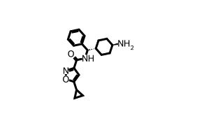 N[C@H]1CC[C@H](C(NC(=O)c2cc(C3CC3)on2)c2ccccc2)CC1